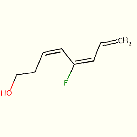 C=C/C=C(F)\C=C/CCO